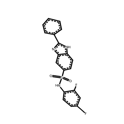 O=S(=O)(Nc1ccc(F)cc1F)c1ccc2[nH]c(-c3ccccc3)nc2c1